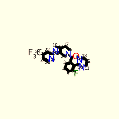 O=C(c1cccc(F)c1-c1ncccn1)N1CCC2CN(c3cc(C(F)(F)F)ccn3)C2C1